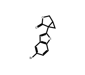 O=C1OCC2CC12c1cc2cc(Br)ccc2s1